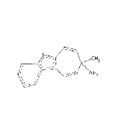 CC1(N)C=Cc2sc3ccccc3c2C=C1